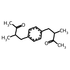 CC(=O)C(C)Cc1ccc(CC(C)C(C)=O)cc1